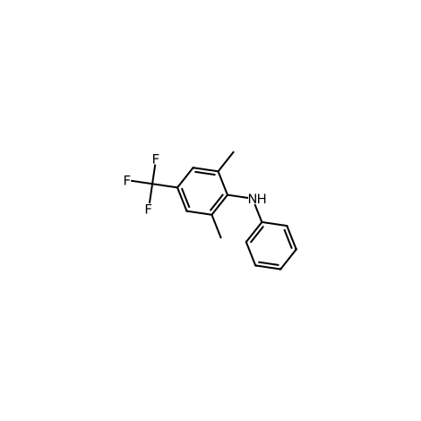 Cc1cc(C(F)(F)F)cc(C)c1Nc1ccccc1